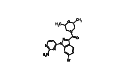 CC1CN(C(=O)c2nn(-c3ccnc(N)n3)c3cc(Br)ccc23)CC(C)O1